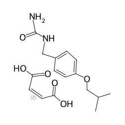 CC(C)COc1ccc(CNC(N)=O)cc1.O=C(O)/C=C\C(=O)O